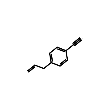 [C]#Cc1ccc(CC=C)cc1